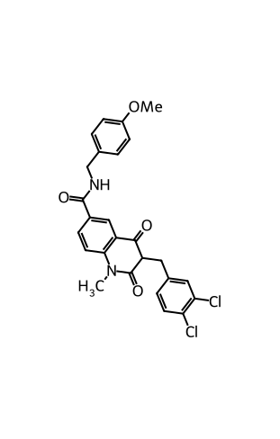 COc1ccc(CNC(=O)c2ccc3c(c2)C(=O)C(Cc2ccc(Cl)c(Cl)c2)C(=O)N3C)cc1